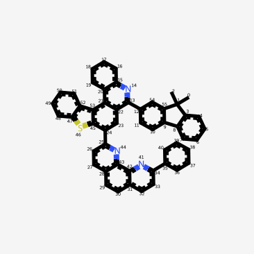 CC1(C)c2ccccc2-c2ccc(-c3nc4ccccc4c4c3cc(-c3ccc5ccc6ccc(-c7ccccc7)nc6c5n3)c3sc5ccccc5c34)cc21